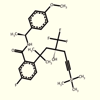 COc1ccc([C@H](C)NC(=O)c2cc(F)ccc2C(C)(C)C[C@](O)(CC#C[Si](C)(C)C)C(F)(F)F)cc1